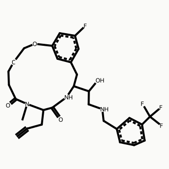 C#CCC1C(=O)NC(C(O)CNCc2cccc(C(F)(F)F)c2)Cc2cc(F)cc(c2)OCCCCC(=O)N1C